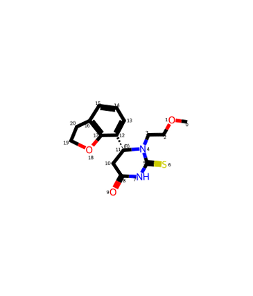 COCCN1C(=S)NC(=O)C[C@@H]1c1cccc2c1OCC2